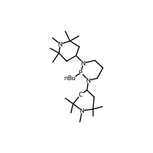 CCCCP1N(C2CC(C)(C)N(C)C(C)(C)C2)CCCN1C1CC(C)(C)N(C)C(C)(C)C1